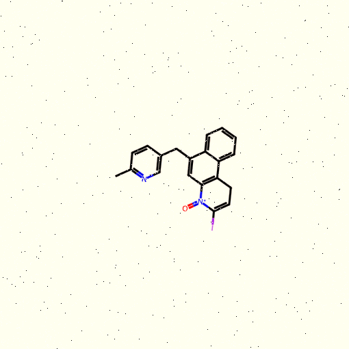 Cc1ccc(Cc2cc3c(c4ccccc24)CC=C(I)[N+]3=O)cn1